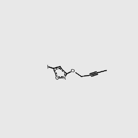 CC#CCOc1cc(I)on1